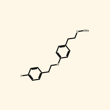 CSOCCc1ccc(OCCc2ccc(F)cc2)cc1